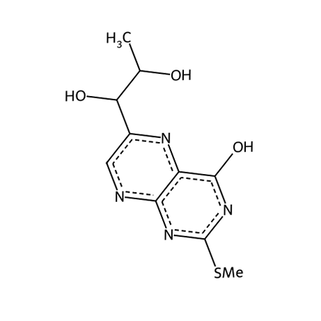 CSc1nc(O)c2nc(C(O)C(C)O)cnc2n1